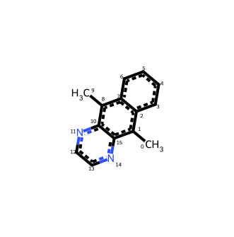 Cc1c2ccccc2c(C)c2nccnc12